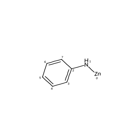 [Zn][NH]c1ccccc1